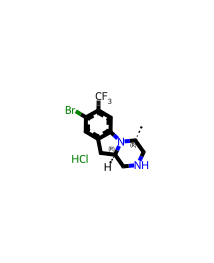 C[C@@H]1CNC[C@H]2Cc3cc(Br)c(C(F)(F)F)cc3N21.Cl